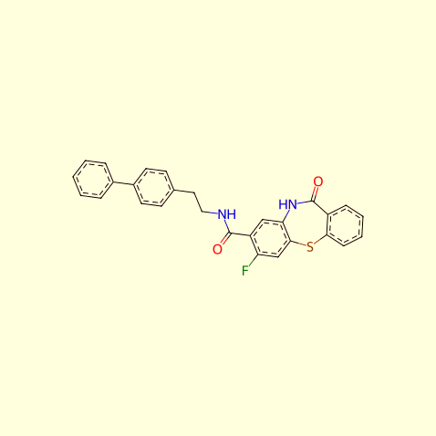 O=C(NCCc1ccc(-c2ccccc2)cc1)c1cc2c(cc1F)Sc1ccccc1C(=O)N2